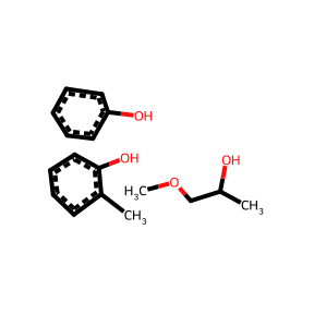 COCC(C)O.Cc1ccccc1O.Oc1ccccc1